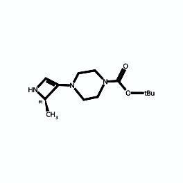 C[C@H]1NC=C1N1CCN(C(=O)OC(C)(C)C)CC1